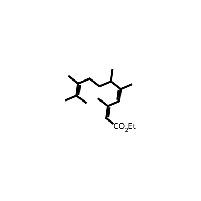 CCOC(=O)C=C(C)C=C(C)C(C)CCC(C)=C(C)C